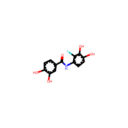 O=C(Nc1ccc(O)c(O)c1F)c1ccc(O)c(O)c1